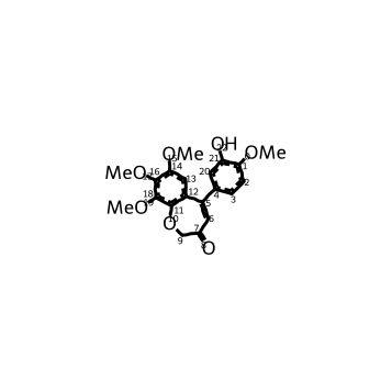 COc1ccc(C2=CC(=O)COc3c2cc(OC)c(OC)c3OC)cc1O